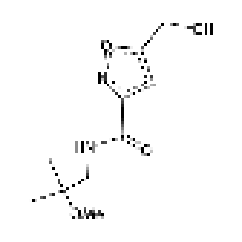 COC(C)(C)CNC(=O)c1cc(CO)on1